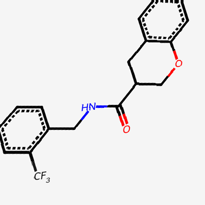 O=C(NCc1ccccc1C(F)(F)F)C1COc2ccccc2C1